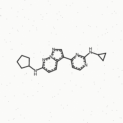 c1cc(-c2cnn3nc(NC4CCCC4)ccc23)nc(NC2CC2)n1